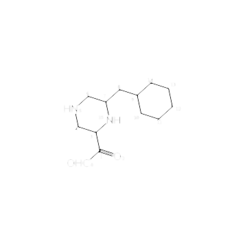 O=CC(=O)C1CNCC(CC2CCCCC2)N1